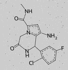 CNC(=O)c1cc(N)c2n1CC(=O)NC2c1cc(F)ccc1Cl